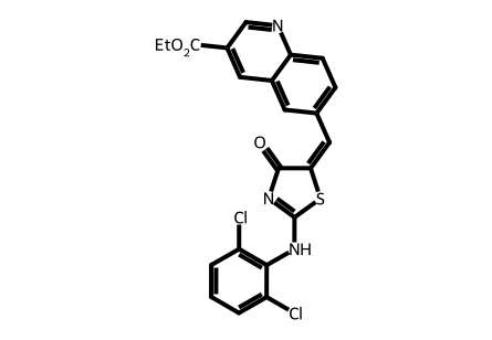 CCOC(=O)c1cnc2ccc(C=C3SC(Nc4c(Cl)cccc4Cl)=NC3=O)cc2c1